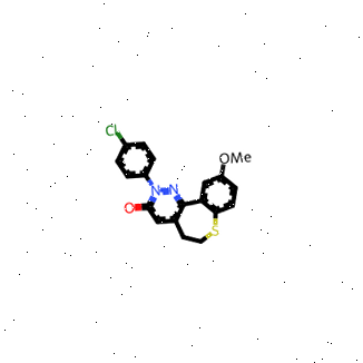 COc1ccc2c(c1)-c1nn(-c3ccc(Cl)cc3)c(=O)cc1CCS2